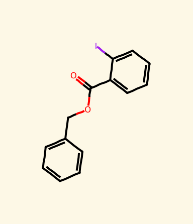 O=C(OCc1ccccc1)c1ccccc1I